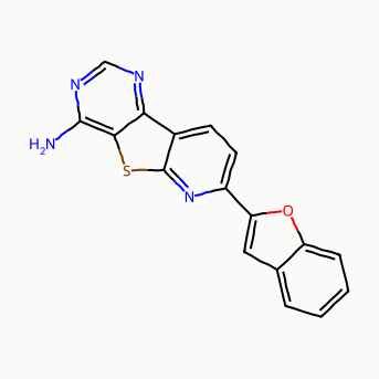 Nc1ncnc2c1sc1nc(-c3cc4ccccc4o3)ccc12